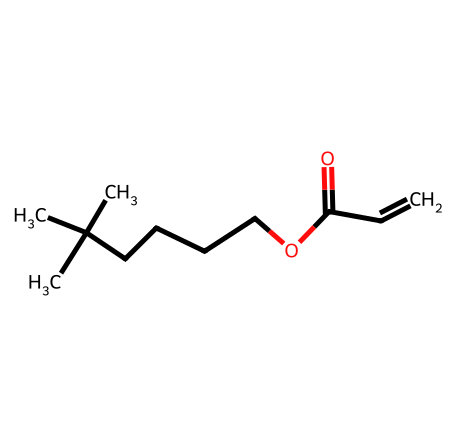 C=CC(=O)OCCCCC(C)(C)C